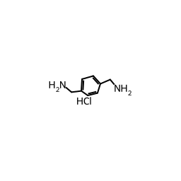 Cl.NCc1ccc(CN)cc1